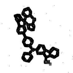 CC1c2ccccc2-c2ccc(N(c3ccccc3)c3ccc(-c4ccc5c(c4)C4(c6ccccc6Oc6ccccc64)c4ccccc4-5)cc3)cc21